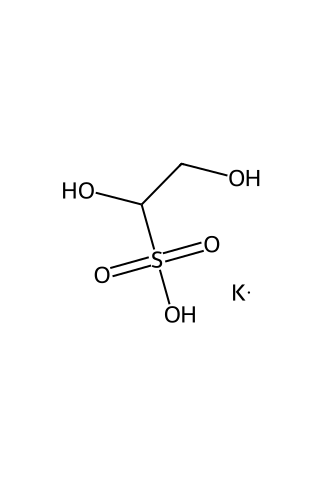 O=S(=O)(O)C(O)CO.[K]